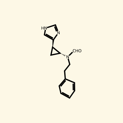 O=CN(CCc1ccccc1)[C@@H]1C[C@H]1c1c[nH]cn1